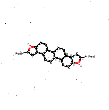 CCCCCc1cc2c(ccc3c2ccc2c4ccc5oc(CCCCC)cc5c4ccc32)o1